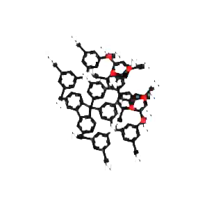 N#Cc1cc(C#N)cc(N(c2cc(C#N)cc(C#N)c2)c2cc(N(c3cc(C#N)cc(C#N)c3)c3cc(C#N)cc(C#N)c3)cc(C3(c4cc(N(c5cc(C#N)cc(C#N)c5)c5cc(C#N)cc(C#N)c5)cc(N(c5cc(C#N)cc(C#N)c5)c5cc(C#N)cc(C#N)c5)c4)c4ccccc4-c4ccccc43)c2)c1